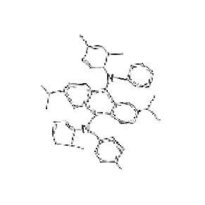 CC1=CC(C)C(N(c2ccccc2)c2c3ccc(C(C)C)cc3c(N(C3=CC=CCC3C)c3ccc(C)cc3)c3ccc(C(C)C)cc23)C=C1